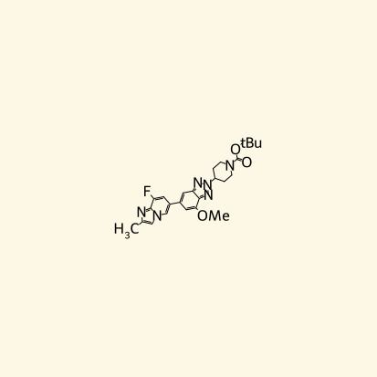 COc1cc(-c2cc(F)c3nc(C)cn3c2)cc2nn(C3CCN(C(=O)OC(C)(C)C)CC3)nc12